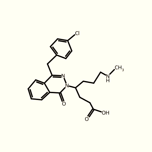 CNCCCC(CCC(=O)O)n1nc(Cc2ccc(Cl)cc2)c2ccccc2c1=O